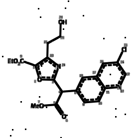 CCOC(=O)c1oc(C(C(=O)OC)c2ccc3ncc(Cl)cc3c2)nc1CCO